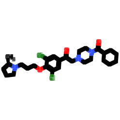 C[C@@H]1CCCN1CCCOc1c(Cl)cc(C(=O)CN2CCN(C(=O)C3CCCCC3)CC2)cc1Cl